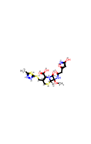 CO[C@@]1(NC(=O)Cc2cc(O)no2)C(=O)N2C(C(=O)O)=C(CSc3nnc(C)s3)CS[C@H]21